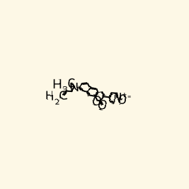 C=CCN(C)c1ccc2cc3cc(-c4cc[n+]([O-])cc4)c(=O)oc3cc2c1